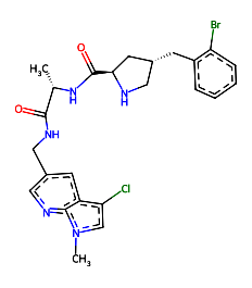 C[C@H](NC(=O)[C@H]1C[C@H](Cc2ccccc2Br)CN1)C(=O)NCc1cnc2c(c1)c(Cl)cn2C